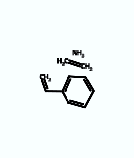 C=C.C=Cc1ccccc1.N